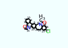 CC(=O)N1Cc2cc(-c3ccccc3-c3ncco3)ccc2/C=C\c2cc(Cl)ccc21